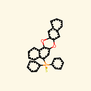 S=P(c1ccccc1)(c1ccccc1)c1cc2c(c3ccccc13)Oc1cc3ccccc3cc1O2